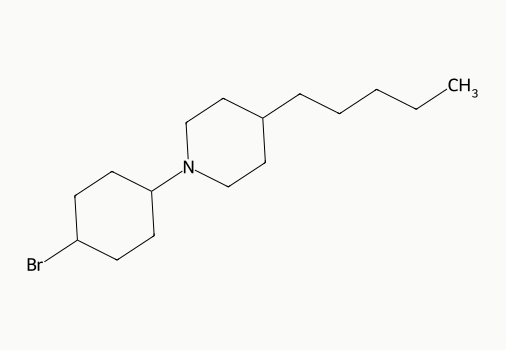 CCCCCC1CCN(C2CCC(Br)CC2)CC1